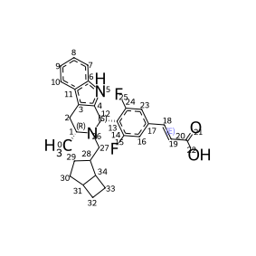 C[C@@H]1Cc2c([nH]c3ccccc23)[C@H](c2c(F)cc(/C=C/C(=O)O)cc2F)N1CC1CCC2CCC21